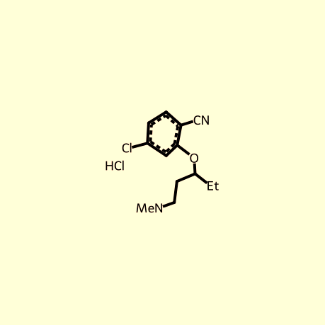 CCC(CCNC)Oc1cc(Cl)ccc1C#N.Cl